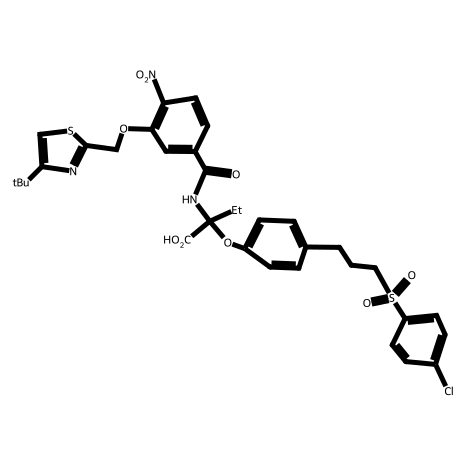 CCC(NC(=O)c1ccc([N+](=O)[O-])c(OCc2nc(C(C)(C)C)cs2)c1)(Oc1ccc(CCCS(=O)(=O)c2ccc(Cl)cc2)cc1)C(=O)O